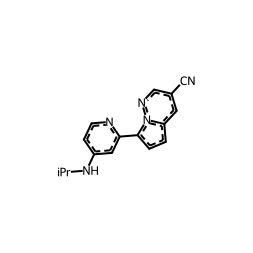 CC(C)Nc1ccnc(-c2ccc3cc(C#N)cnn23)c1